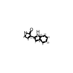 O=C1N=CC=C1c1cc2ccccc2[nH]1